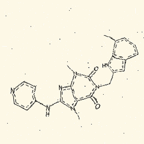 Cc1cccc2cc(Cn3c(=O)c4c(nc(Nc5ccncc5)n4C)n(C)c3=O)[nH]c12